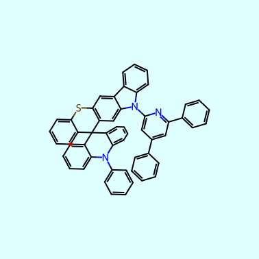 c1ccc(-c2cc(-c3ccccc3)nc(-n3c4ccccc4c4cc5c(cc43)C3(c4ccccc4S5)c4ccccc4N(c4ccccc4)c4ccccc43)c2)cc1